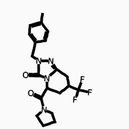 Cc1ccc(Cn2nc3n(c2=O)C(C(=O)N2CCCC2)CC(C(F)(F)F)C3)cc1